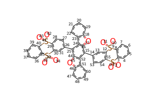 O=S1(=O)c2ccccc2S(=O)(=O)c2cc(-c3c4oc5ccccc5c4c(-c4ccc5c(c4)S(=O)(=O)c4ccccc4S5(=O)=O)c4oc5ccccc5c34)ccc21